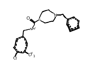 O=C(NCc1ccc(Cl)c(C(F)(F)F)c1)N1CCN(Cc2ccccc2)CC1